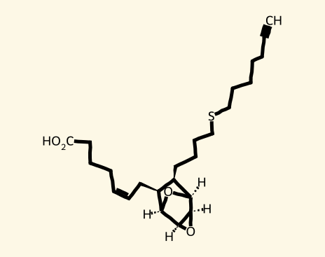 C#CCCCCCSCCCC[C@@H]1[C@H](C/C=C\CCCC(=O)O)[C@H]2O[C@@H]1[C@H]1O[C@H]12